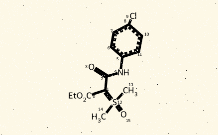 CCOC(=O)C(C(=O)Nc1ccc(Cl)cc1)=S(C)(C)=O